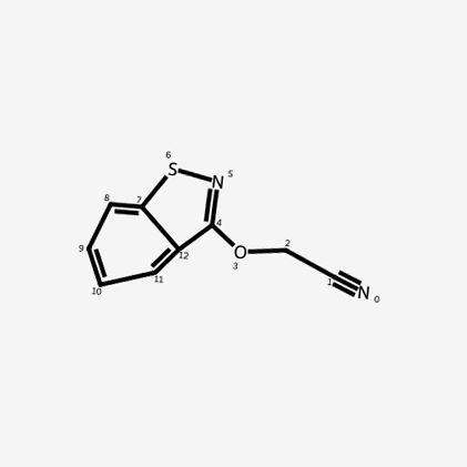 N#CCOc1nsc2ccccc12